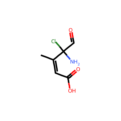 CC(=CC(=O)O)C(N)(Cl)C=O